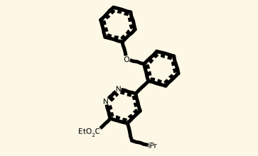 CCOC(=O)c1nnc(-c2ccccc2Oc2ccccc2)cc1CC(C)C